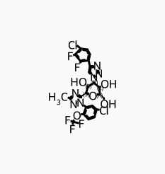 Cc1nc([C@@H]2O[C@H](CO)[C@H](O)[C@H](n3cc(-c4ccc(Cl)c(F)c4F)nn3)[C@H]2O)n(-c2cc(Cl)ccc2OC(F)(F)F)n1